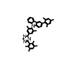 Cc1cc(C)c(-c2ccc3c(c2)c2ccccc2n3-c2c(C)cc(-c3ncnc(-c4c(C)c(C)cc(C)c4C)n3)cc2C)c(C)c1